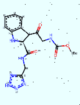 CC(C)(C)OC(=O)NCC(=O)C1c2ccccc2N[C@@H]1C(=O)NCc1nn[nH]n1